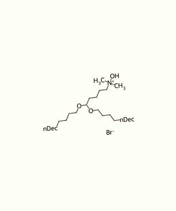 CCCCCCCCCCCCCCOC(CCCC[N+](C)(C)O)OCCCCCCCCCCCCCC.[Br-]